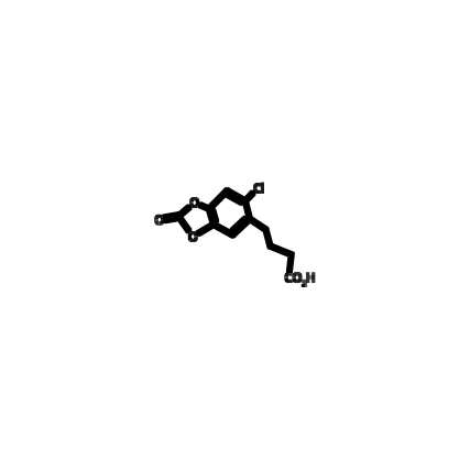 O=C(O)CCCc1cc2oc(=O)oc2cc1Cl